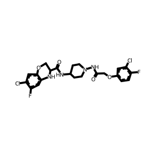 O=C(COc1ccc(F)c(Cl)c1)NN1CCC(NC(=O)C2COc3cc(Cl)c(F)cc3N2)CC1